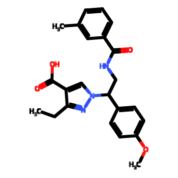 CCc1nn(C(CNC(=O)c2cccc(C)c2)c2ccc(OC)cc2)cc1C(=O)O